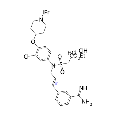 CCOC(=O)CS(=O)(=O)N(C/C=C/c1cccc(C(=N)N)c1)c1ccc(OC2CCN(C(C)C)CC2)c(Cl)c1.Cl.Cl